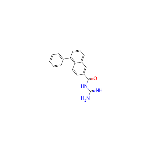 N=C(N)NC(=O)c1ccc2c(-c3ccccc3)cccc2c1